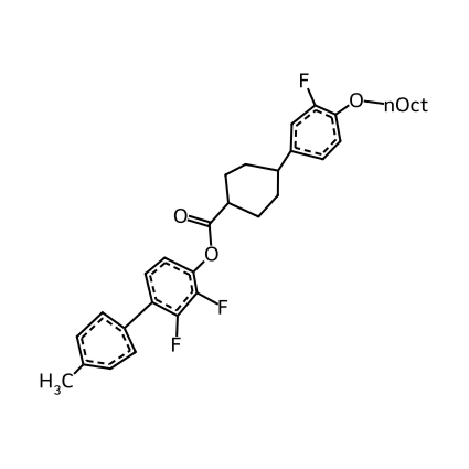 CCCCCCCCOc1ccc(C2CCC(C(=O)Oc3ccc(-c4ccc(C)cc4)c(F)c3F)CC2)cc1F